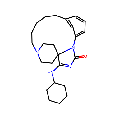 O=C1N=C(NC2CCCCC2)C23CCN(CCCCCc4cccc(c4)N12)CC3